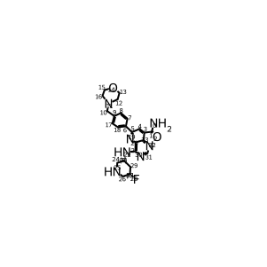 NC(=O)c1cc(-c2ccc(CN3CCOCC3)cc2)nc2c(N[C@H]3CNC[C@H](F)C3)ncnc12